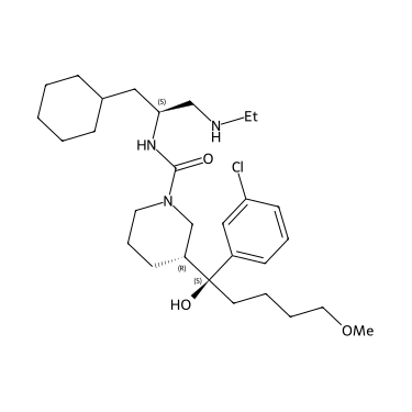 CCNC[C@H](CC1CCCCC1)NC(=O)N1CCC[C@@H]([C@@](O)(CCCCOC)c2cccc(Cl)c2)C1